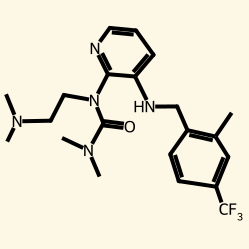 Cc1cc(C(F)(F)F)ccc1CNc1cccnc1N(CCN(C)C)C(=O)N(C)C